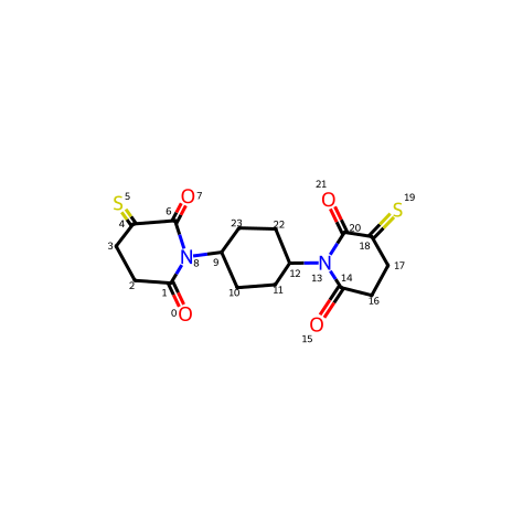 O=C1CCC(=S)C(=O)N1C1CCC(N2C(=O)CCC(=S)C2=O)CC1